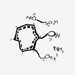 CCCCCCCCc1ccccc1O.N.O=S(=O)(O)O